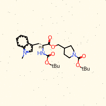 Cn1cc(C[C@@H](NC(=O)OC(C)(C)C)C(=O)OCC2CCN(C(=O)OC(C)(C)C)CC2)c2ccccc21